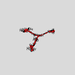 CC(=O)N[C@@H]1[C@@H](O)[C@@H](O)[C@@H](CO)O[C@@H]1CCCOCCOCCNC(=O)NCCCC(C)(CCCNC(=O)NCCOCCOCCC[C@H]1O[C@H](CO)[C@H](O)[C@H](O)[C@H]1NC(C)=O)NC(=O)NCCOCCOCCOCCNC(=O)c1ccc(N2C(=O)C=CC2=O)cc1